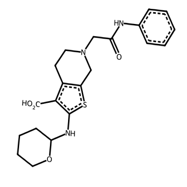 O=C(CN1CCc2c(sc(NC3CCCCO3)c2C(=O)O)C1)Nc1ccccc1